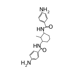 CC1C(NC(=O)c2ccc(N)cc2)CCCC1NC(=O)c1ccc(N)cc1